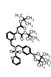 CC(C)(C)OC(=O)CN(C(=O)OC(C)(C)C)c1cccc(CN(Cc2ccc(B3OC(C)(C)C(C)(C)O3)cc2)S(=O)(=O)c2ccccn2)n1